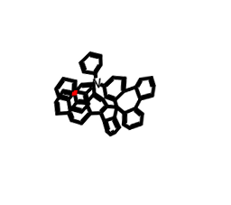 c1ccc(N(c2ccc3c(c2)C2(c4ccccc4-c4ccccc4-3)c3ccccc3-c3c2cc2ccc4cccc5ccc3c2c45)c2cccc3ccccc23)cc1